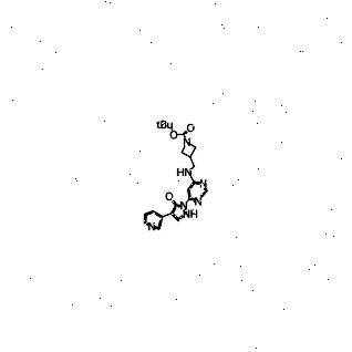 CC(C)(C)OC(=O)N1CC(CNc2cc(-n3[nH]cc(-c4cccnc4)c3=O)ncn2)C1